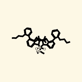 CCCCc1ccccc1-c1cccc2c1C=C(C(C)C)[CH]2[Zr]([Cl])([Cl])([CH]1C(C(C)C)=Cc2c(-c3ccccc3CCCC)cccc21)[SiH](C)C